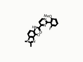 COc1cccc(F)c1-c1nccc(C(=O)Nc2ccc3c(nc(C)n3C)c2Cl)n1